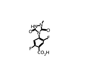 Cn1[nH]c(=O)n(-c2cc(F)c(C(=O)O)cc2F)c1=O